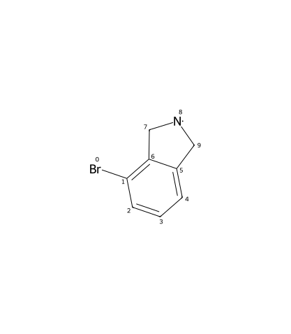 Brc1cccc2c1C[N]C2